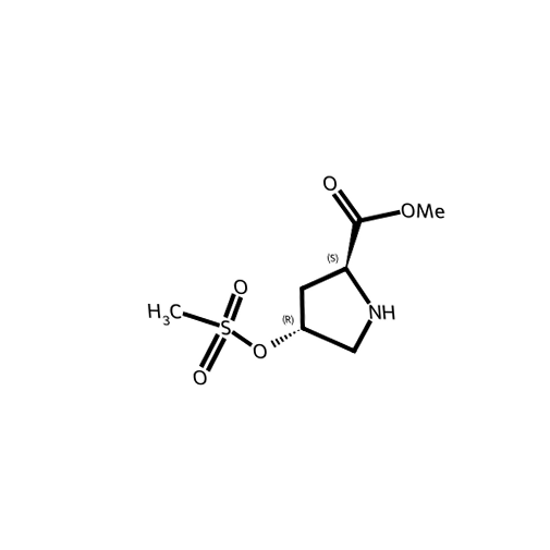 COC(=O)[C@@H]1C[C@@H](OS(C)(=O)=O)CN1